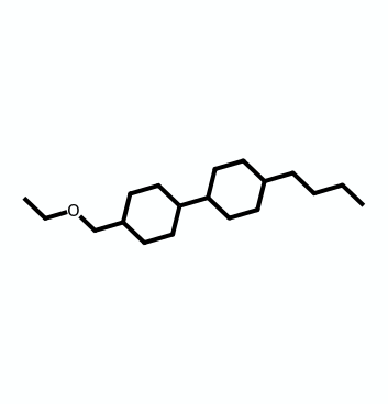 CCCCC1CCC(C2CCC(COCC)CC2)CC1